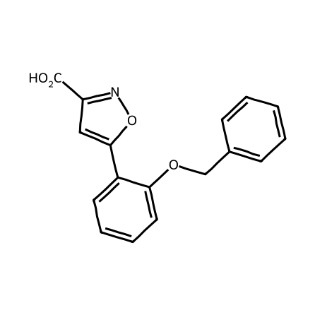 O=C(O)c1cc(-c2ccccc2OCc2ccccc2)on1